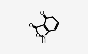 O=C1CC=Cc2[nH]oc(=O)c21